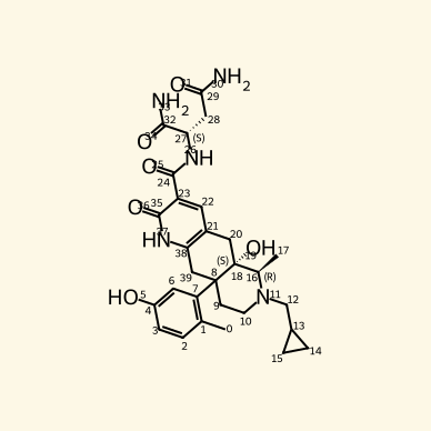 Cc1ccc(O)cc1C12CCN(CC3CC3)[C@H](C)[C@]1(O)Cc1cc(C(=O)N[C@@H](CC(N)=O)C(N)=O)c(=O)[nH]c1C2